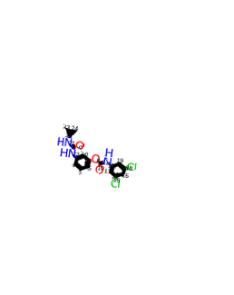 O=C(Nc1cccc(OC(=O)Nc2cc(Cl)cc(Cl)c2)c1)NC1CC1